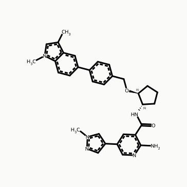 Cc1cn(C)c2ccc(-c3ccc(CO[C@H]4CCC[C@@H]4NC(=O)c4cc(-c5cnn(C)c5)cnc4N)cc3)cc12